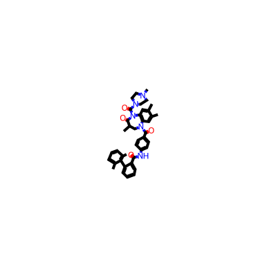 Cc1cc2c(cc1C)N(C(=O)N1CCN(C)CC1)C(=O)C(C)CN2C(=O)c1ccc(NC(=O)c2ccccc2-c2c(C)cccc2C)cc1